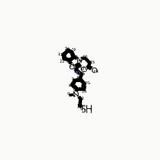 CN(CCS)c1ccc(/C=C/C23OC(=O)CCN2c2ccccc2O3)cc1